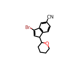 N#Cc1ccc2c(c1)C(Br)=CC2C1CCCCO1